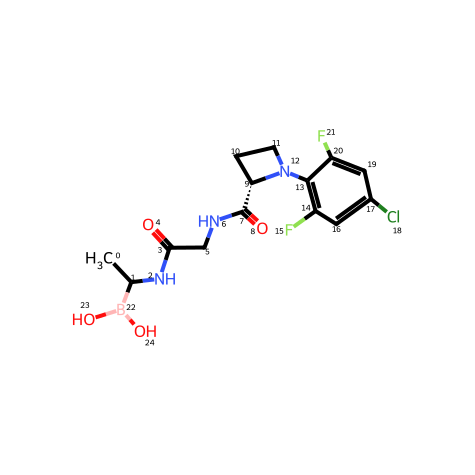 CC(NC(=O)CNC(=O)[C@@H]1CCN1c1c(F)cc(Cl)cc1F)B(O)O